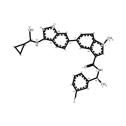 C[C@H](NC(=O)c1cn(C)c2ccc(-c3ccc4c(NC(O)C5CC5)noc4c3)cc12)c1cccc(F)c1